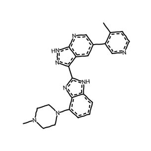 Cc1ccncc1-c1cnc2[nH]nc(-c3nc4c(N5CCN(C)CC5)cccc4[nH]3)c2c1